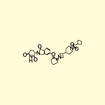 O=C1CCC(N2Cc3cc(O[C@H]4CCCC[C@H]4N4CC(C5CCN(S(=O)(=O)C6CCC6)CC5)C4)ccc3C2=O)C(=O)N1